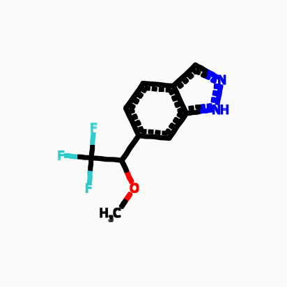 COC(c1ccc2cn[nH]c2c1)C(F)(F)F